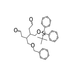 CC(C)(C)[Si](OCC(CC=O)C(CC=O)COCc1ccccc1)(c1ccccc1)c1ccccc1